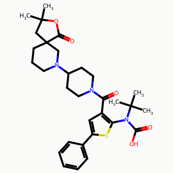 CC1(C)CC2(CCCN(C3CCN(C(=O)c4cc(-c5ccccc5)sc4N(C(=O)O)C(C)(C)C)CC3)C2)C(=O)O1